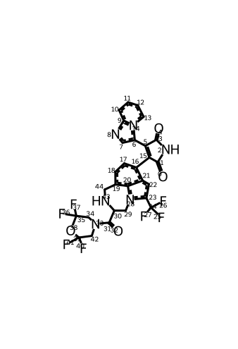 O=C1NC(=O)C(c2cnc3ccccn23)=C1c1ccc2c3c1cc(C(F)(F)F)n3CC(C(=O)N1CC(F)(F)OC(F)(F)C1)NC2